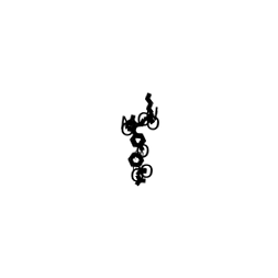 CCCCN(C)C(=O)OCc1c(C)noc1-c1ccc(O[C@H]2CCC[C@H](C(=O)OC(C)C)C2)cc1